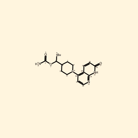 CC(C)(C)C(OC(N)=O)C1CCN(c2ccnc3[nH]c(=O)ccc23)CC1